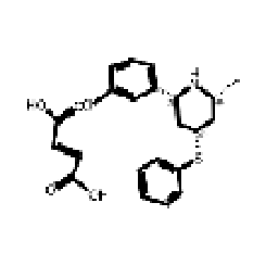 C[C@@H]1C[C@H](Sc2ccccc2)C[C@H](c2cccc(Cl)c2)N1.O=C(O)C=CC(=O)O